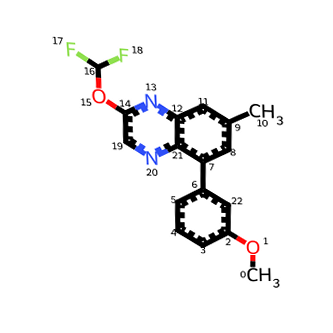 COc1cccc(-c2cc(C)cc3nc(OC(F)F)cnc23)c1